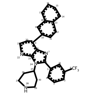 FC(F)(F)c1cccc(-c2nc3c(-c4ccc5ccccc5c4)ccnc3n2C2CCNCC2)c1